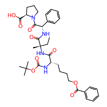 CC[C@](C)(NC(=O)[C@H](CCCCOC(=O)c1ccccc1)NC(=O)OC(C)(C)C)C(=O)N[C@H](C(=O)N1CCC[C@@H]1C(=O)O)c1ccccc1